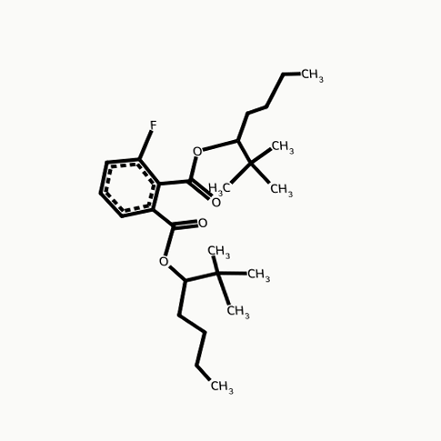 CCCCC(OC(=O)c1cccc(F)c1C(=O)OC(CCCC)C(C)(C)C)C(C)(C)C